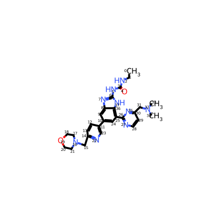 CCNC(=O)Nc1nc2cc(-c3ccc(CN4CCOCC4)nc3)cc(-c3nccc(CN(C)C)n3)c2[nH]1